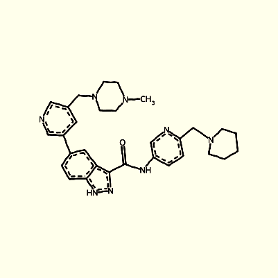 CN1CCN(Cc2cncc(-c3ccc4[nH]nc(C(=O)Nc5ccc(CN6CCCCC6)nc5)c4c3)c2)CC1